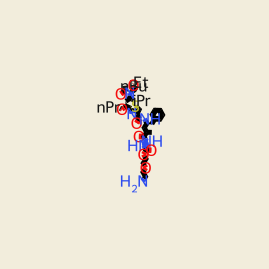 CCCCC(=O)N(COCC)C(C[C@@H](OCCC)c1nc(C(=O)N[C@@H](Cc2ccccc2)CC(C)C(=O)NNC(=O)OCCOCCN)cs1)C(C)C